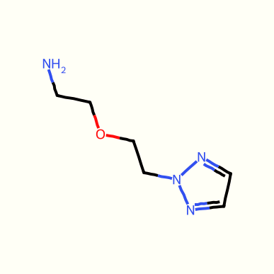 NCCOCCn1nccn1